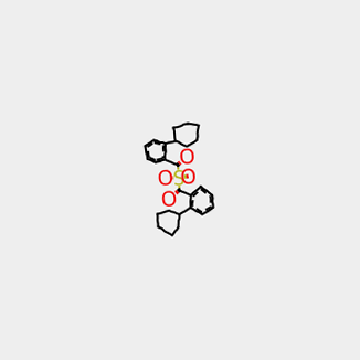 O=C(c1ccccc1C1CCCCC1)S(=O)(=O)C(=O)c1ccccc1C1CCCCC1